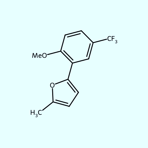 COc1ccc(C(F)(F)F)cc1-c1ccc(C)o1